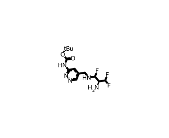 CC(C)(C)OC(=O)Nc1cc(CNC(F)[C@H](N)C(F)F)cnn1